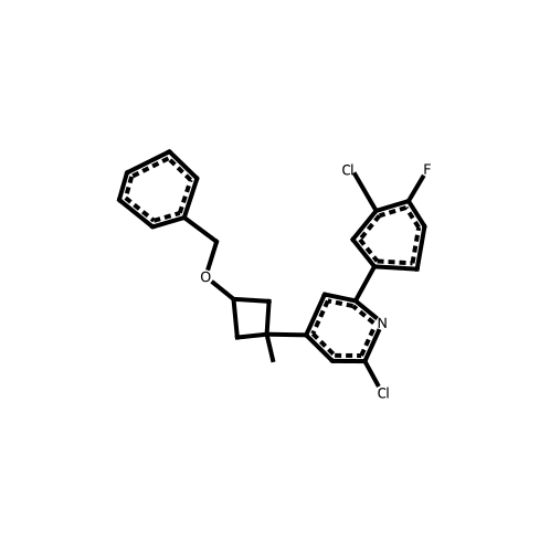 CC1(c2cc(Cl)nc(-c3ccc(F)c(Cl)c3)c2)CC(OCc2ccccc2)C1